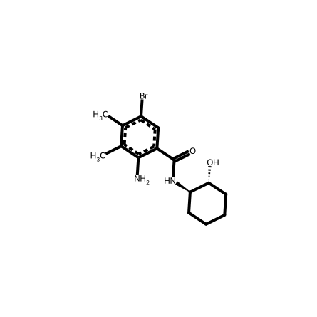 Cc1c(Br)cc(C(=O)N[C@@H]2CCCC[C@H]2O)c(N)c1C